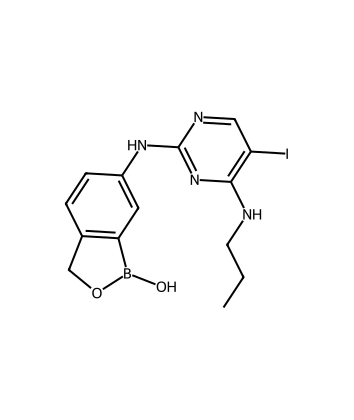 CCCNc1nc(Nc2ccc3c(c2)B(O)OC3)ncc1I